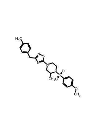 COc1ccc(S(=O)(=O)N2CCN(c3nc(Cc4ccc(C)cc4)ns3)CC2C)cc1